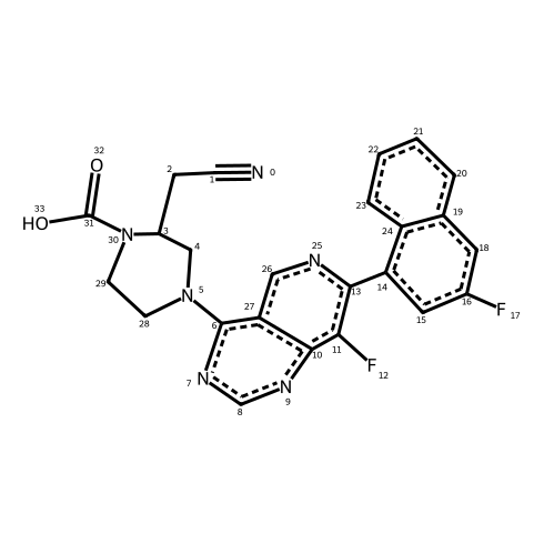 N#CCC1CN(c2ncnc3c(F)c(-c4cc(F)cc5ccccc45)ncc23)CCN1C(=O)O